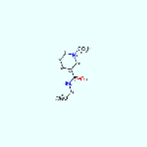 COCNC(=O)C1CCCN(C(=O)O)C1